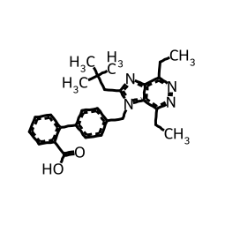 CCc1nnc(CC)c2c1nc(CC(C)(C)C)n2Cc1ccc(-c2ccccc2C(=O)O)cc1